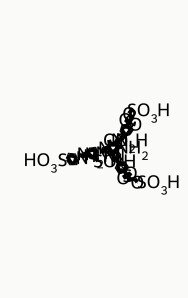 Nc1c(/N=N/c2ccc(S(=O)(=O)CCOS(=O)(=O)O)cc2)c(N)c(/N=N/c2ccc(/N=N/c3ccc(S(=O)(=O)O)cc3)cc2S(=O)(=O)O)c(C(=O)O)c1/N=N/c1ccc(S(=O)(=O)COS(=O)(=O)O)cc1